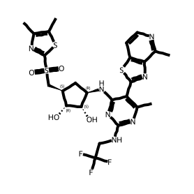 Cc1nc(S(=O)(=O)C[C@H]2C[C@@H](Nc3nc(NCC(F)(F)F)nc(C)c3-c3nc4c(C)nccc4s3)[C@H](O)[C@@H]2O)sc1C